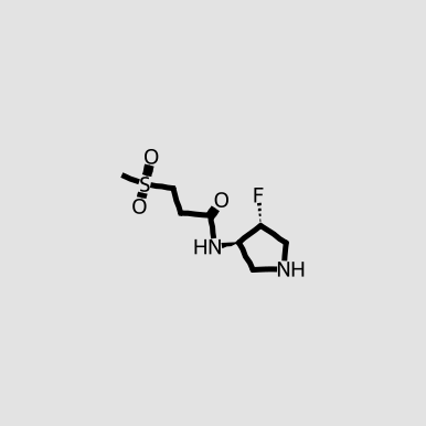 CS(=O)(=O)CCC(=O)N[C@@H]1CNC[C@H]1F